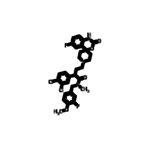 COc1ccc(CN(C)C(=O)C(CCN2CCC3(CC2)OC(=O)Nc2ccc(F)cc23)c2ccc(Cl)c(Cl)c2)cc1F